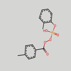 Cc1ccc(C(=O)OOP(=O)(O)Oc2ccccc2C)cc1